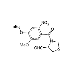 CCCCOc1cc([N+](=O)[O-])c(C(=O)N2CSC[C@H]2C=O)cc1OC